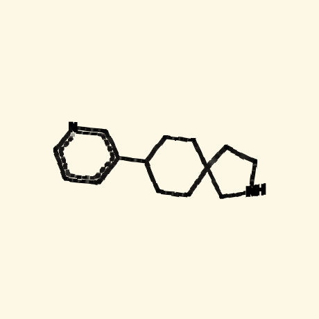 c1cncc(C2CCC3(CCNC3)CC2)c1